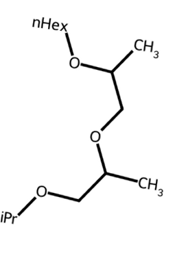 [CH2]C(C)OCC(C)OCC(C)OCCCCCC